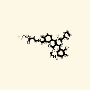 CCOC(=O)C1=C(C2CCc3nn(CCC(=O)OC)cc3C2)NC(c2nccs2)=NC1c1cccc(F)c1Br